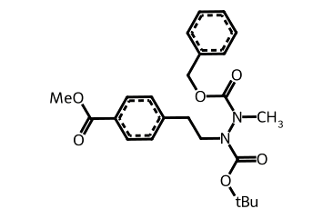 COC(=O)c1ccc(CCN(C(=O)OC(C)(C)C)N(C)C(=O)OCc2ccccc2)cc1